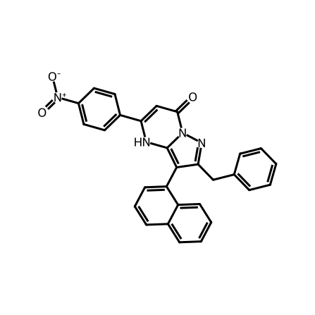 O=c1cc(-c2ccc([N+](=O)[O-])cc2)[nH]c2c(-c3cccc4ccccc34)c(Cc3ccccc3)nn12